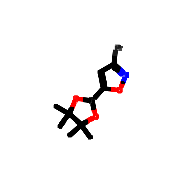 CC(C)c1cc(B2OC(C)(C)C(C)(C)O2)on1